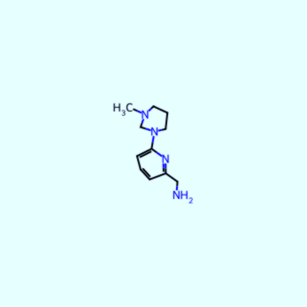 CN1CCCN(c2cccc(CN)n2)C1